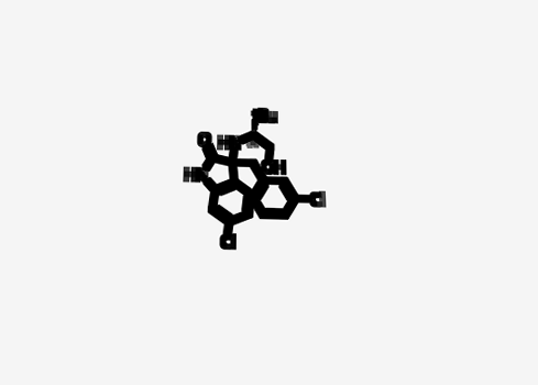 CC(C)(C)[C@H](CO)NC1(Cc2cccc(Cl)c2)C(=O)Nc2cc(Cl)ccc21